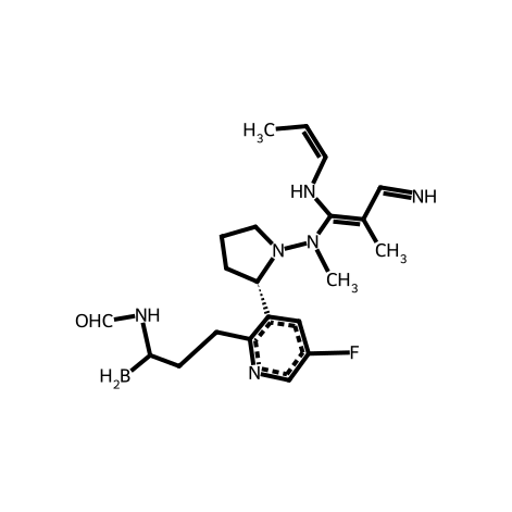 BC(CCc1ncc(F)cc1[C@@H]1CCCN1N(C)/C(N/C=C\C)=C(\C)C=N)NC=O